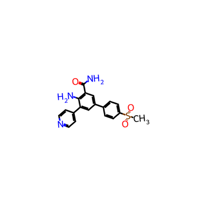 CS(=O)(=O)c1ccc(-c2cc(C(N)=O)c(N)c(-c3ccncc3)c2)cc1